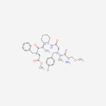 COC[C@H](N)C(=O)N(C)[C@H](CC(=O)N[C@H]1CCCC[C@@H]1N(C)C(=O)[C@@H](CC(=O)OC)Cc1ccccc1)Cc1ccc(Cl)cc1